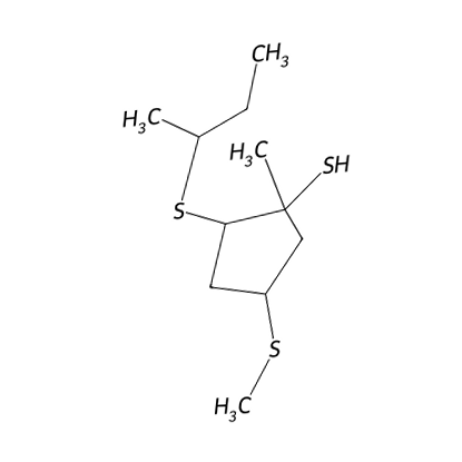 CCC(C)SC1CC(SC)CC1(C)S